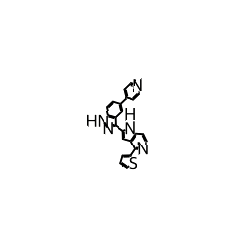 c1csc(-c2nccc3[nH]c(-c4n[nH]c5ccc(-c6ccncc6)cc45)cc23)c1